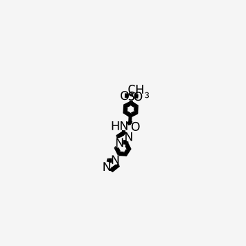 CS(=O)(=O)c1ccc(C(=O)Nc2cn3cc(-n4ccnc4)ccc3n2)cc1